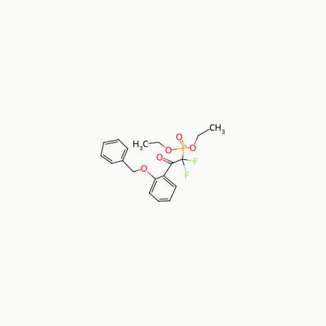 CCOP(=O)(OCC)C(F)(F)C(=O)c1ccccc1OCc1ccccc1